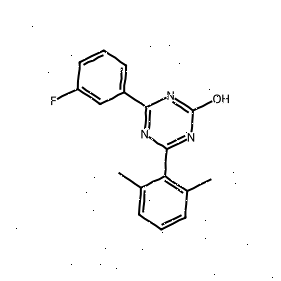 Cc1cccc(C)c1-c1nc(O)nc(-c2cccc(F)c2)n1